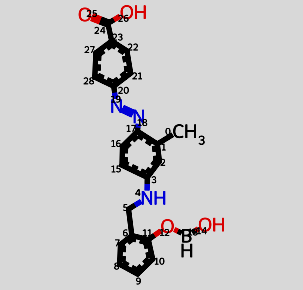 Cc1cc(NCc2ccccc2OBO)ccc1/N=N/c1ccc(C(=O)O)cc1